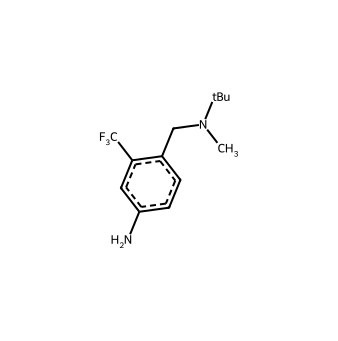 CN(Cc1ccc(N)cc1C(F)(F)F)C(C)(C)C